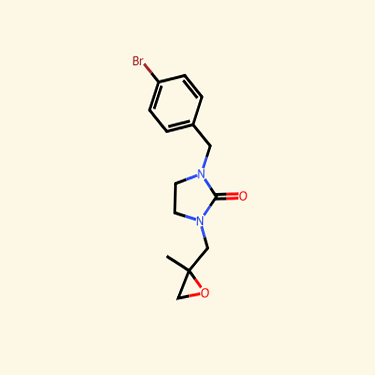 CC1(CN2CCN(Cc3ccc(Br)cc3)C2=O)CO1